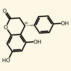 O=C1C[C@H](c2ccc(O)cc2)c2c(O)cc(O)cc2O1